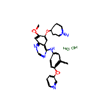 COc1cc2ncnc(Nc3ccc(Oc4cccnc4)c(C)c3)c2cc1OC1CCNCC1.Cl.Cl